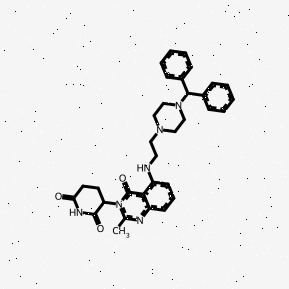 Cc1nc2cccc(NCCN3CCN(C(c4ccccc4)c4ccccc4)CC3)c2c(=O)n1C1CCC(=O)NC1=O